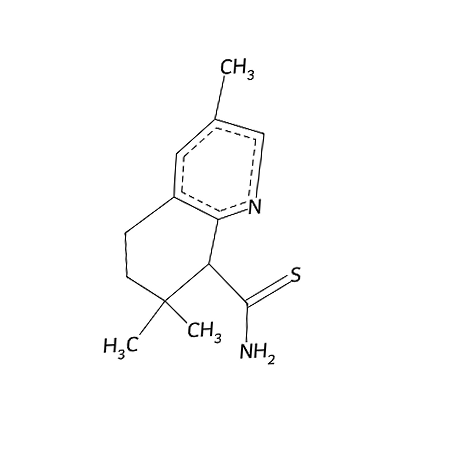 Cc1cnc2c(c1)CCC(C)(C)C2C(N)=S